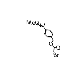 CON=C(C)c1ccc(COC(=O)CBr)cc1